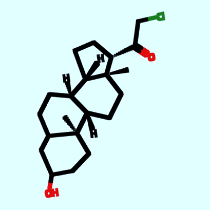 C[C@]12CC[C@H]3[C@@H](CCC4CC(O)CC[C@@]43C)[C@@H]1CC[C@@H]2C(=O)CCl